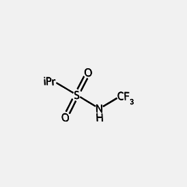 CC(C)S(=O)(=O)NC(F)(F)F